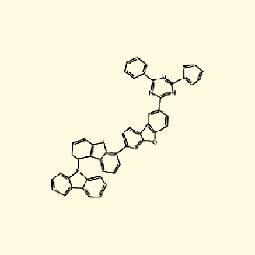 C1=Cc2sc3c(-c4ccc5c(c4)oc4ccc(-c6nc(-c7ccccc7)nc(-c7ccccc7)n6)cc45)cccc3c2C(n2c3ccccc3c3ccccc32)C1